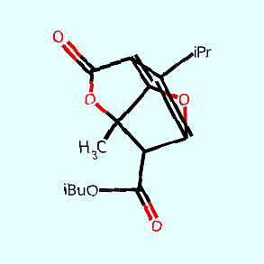 CC(C)COC(=O)C1c2oc3c(c2C(C)C)C(=O)OC31C